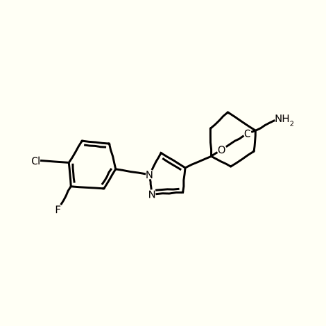 NC12CCC(c3cnn(-c4ccc(Cl)c(F)c4)c3)(CC1)OC2